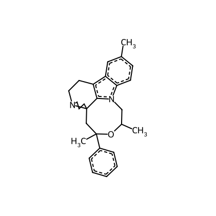 Cc1ccc2c(c1)c1c3n2CC(C)OC(C)(c2ccccc2)CC32CCCN2CC1